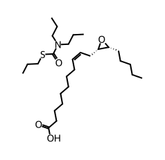 CCCCC[C@H]1O[C@H]1C/C=C\CCCCCCCC(=O)O.CCCSC(=O)N(CCC)CCC